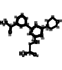 NC(=O)CNc1nc(-c2cccc(C(N)=O)c2)nc(N2CCOCC2)n1